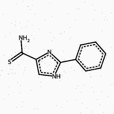 NC(=S)c1c[nH]c(-c2ccccc2)n1